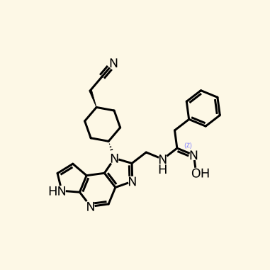 N#CC[C@H]1CC[C@H](n2c(CN/C(Cc3ccccc3)=N\O)nc3cnc4[nH]ccc4c32)CC1